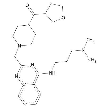 CN(C)CCCNc1nc(CN2CCN(C(=O)C3CCOC3)CC2)nc2ccccc12